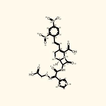 O=C(O)CO/N=C(\C(=O)NC1C(=O)N2C(C(=O)O)=C(/C=C/c3ccc([N+](=O)[O-])cc3[N+](=O)[O-])CS[C@H]12)c1cscn1